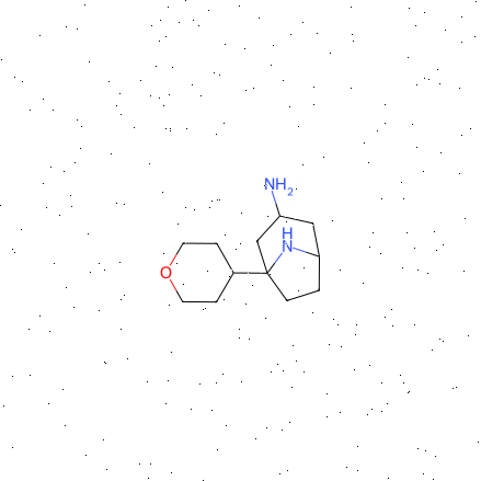 NC1CC2CCC(C3CCOCC3)(C1)N2